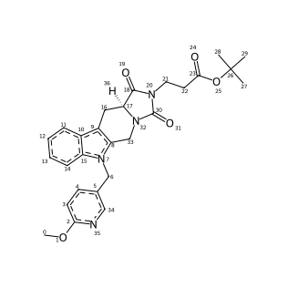 COc1ccc(Cn2c3c(c4ccccc42)C[C@H]2C(=O)N(CCC(=O)OC(C)(C)C)C(=O)N2C3)cn1